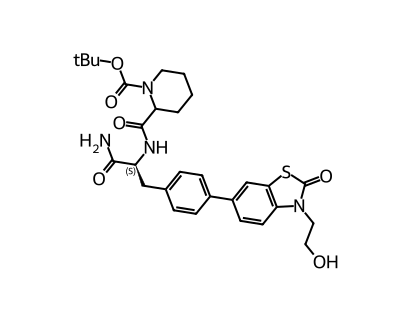 CC(C)(C)OC(=O)N1CCCCC1C(=O)N[C@@H](Cc1ccc(-c2ccc3c(c2)sc(=O)n3CCO)cc1)C(N)=O